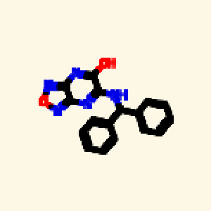 Oc1nc2nonc2nc1NC(c1ccccc1)c1ccccc1